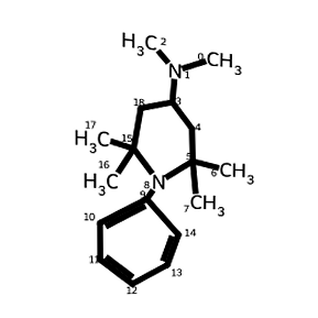 CN(C)C1CC(C)(C)N(c2ccccc2)C(C)(C)C1